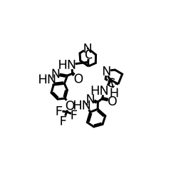 O=C(NC1CN2CCC1CC2)c1n[nH]c2ccc(OC(F)(F)F)cc12.O=C(N[C@@H]1CN2CCC1CC2)c1n[nH]c2ccccc12